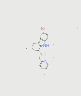 Brc1ccc2[nH]c3c(c2c1)CCC[C@H]3NCc1ccccn1